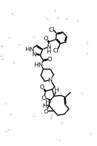 C/C1=C\CCC[C@@]2(C)O[C@@H]2[C@H]2OC(=O)C(CN3CCC(NC(=O)c4n[nH]cc4NC(=O)c4c(Cl)cccc4Cl)CC3)[C@@H]2C1